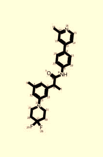 Cc1cc(C(C)C(=O)Nc2ccc(-c3ccnc(C)c3)cc2)cc(N2CCC(F)(F)CC2)c1